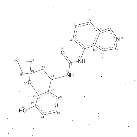 O=C(Nc1cccc2cnccc12)NC1CC2(CCC2)Oc2c(O)cccc21